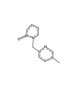 Cc1ccc(Cn2ccccc2=O)nc1